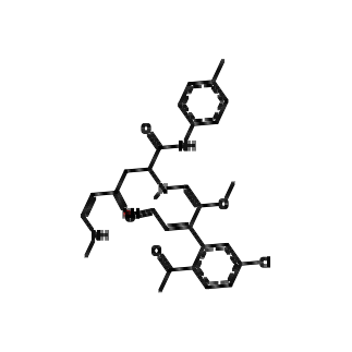 CN/C=C\C(=N)CC(C(=O)Nc1ccc(C)cc1)N(C)/C=C(OC)\C(=C/C=O)c1cc(Cl)ccc1C(C)=O